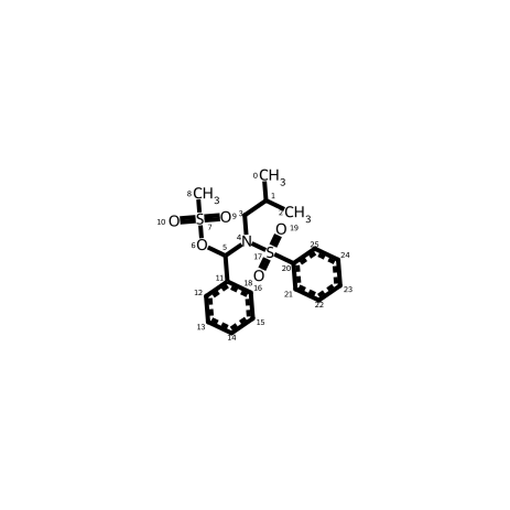 CC(C)CN(C(OS(C)(=O)=O)c1ccccc1)S(=O)(=O)c1ccccc1